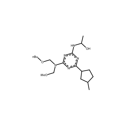 CCCCOCN(COC)c1nc(NC(C)O)nc(C2CCC(C)C2)n1